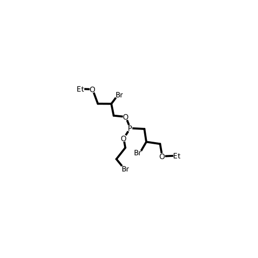 CCOCC(Br)COP(CC(Br)COCC)OCCBr